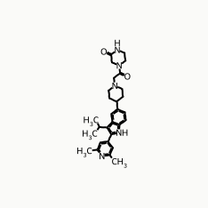 Cc1cc(-c2[nH]c3ccc(C4CCN(CC(=O)N5CCNC(=O)C5)CC4)cc3c2C(C)C)cc(C)n1